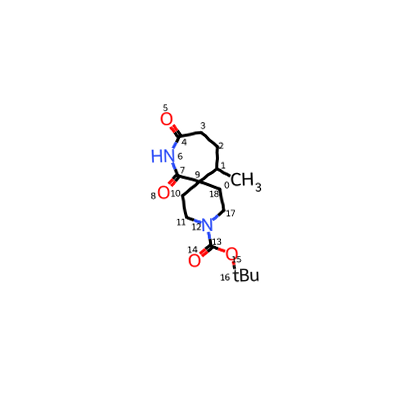 CC1CCC(=O)NC(=O)C12CCN(C(=O)OC(C)(C)C)CC2